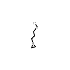 CCOCCCN1CC1